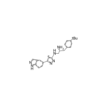 CC(C)(C)c1ccc(C[C@H](N)CNc2nnc(-c3ccc4[nH]ncc4c3)s2)cc1